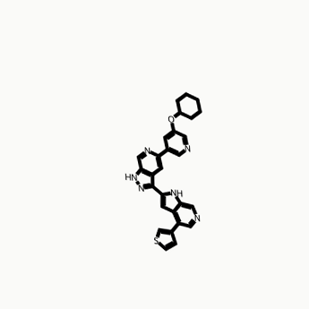 c1cc(-c2cncc3[nH]c(-c4n[nH]c5cnc(-c6cncc(OC7CCCCC7)c6)cc45)cc23)cs1